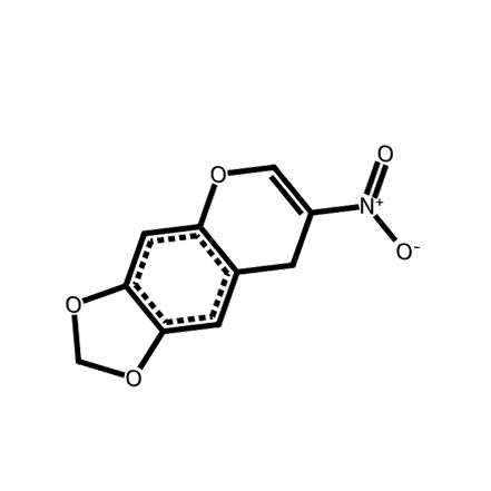 O=[N+]([O-])C1=COc2cc3c(cc2C1)OCO3